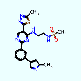 Cc1nnc(-c2cnc(-c3cccc(C4=CC(C)N=C4)c3)nc2NCCNS(C)(=O)=O)s1